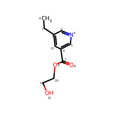 CCc1cncc(C(=O)OCCO)c1